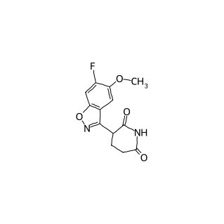 COc1cc2c(C3CCC(=O)NC3=O)noc2cc1F